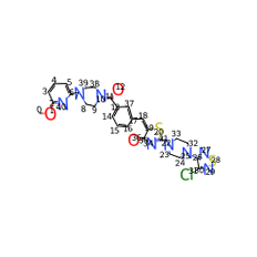 COc1cccc(N2CCN(C(=O)c3cccc(C=C4SC(N5CCN(c6nsnc6Cl)CC5)=NC4=O)c3)CC2)n1